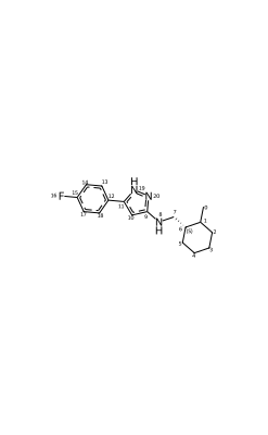 CC1CCCC[C@@H]1CNc1cc(-c2ccc(F)cc2)[nH]n1